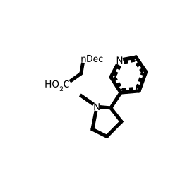 CCCCCCCCCCCC(=O)O.CN1CCCC1c1cccnc1